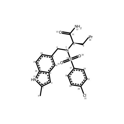 Cc1cc2cc(CN([C@H](CC(C)C)C(N)=O)S(=O)(=O)c3ccc(Cl)cc3)ccc2[nH]1